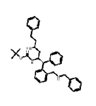 CC(C)(C)OC(=O)NC(CC(O)CCc1ccccc1)[C@@H](c1ccccc1)c1ccccc1CNCc1ccccc1